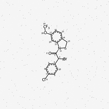 O=C(C(Br)c1ccc(Cl)cc1)N1CCc2ccc(OC(F)(F)F)cc21